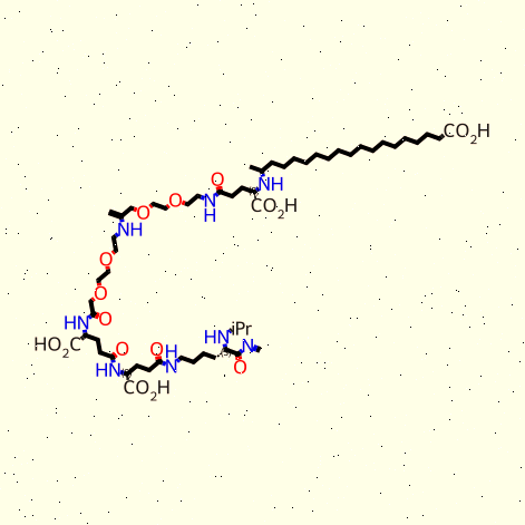 C=NC(=O)[C@H](CCCCNC(=O)CC[C@H](NC(=O)CCC(NC(=O)COCCOCCNC(=C)COCCOCCNC(=O)CC[C@H](NC(C)CCCCCCCCCCCCCCCCC(=O)O)C(=O)O)C(=O)O)C(=O)O)NC(C)C